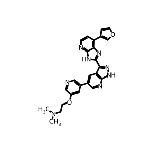 CN(C)CCOc1cncc(-c2cnc3[nH]nc(-c4nc5c(-c6ccoc6)ccnc5[nH]4)c3c2)c1